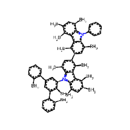 Bc1ccccc1-c1cc(-c2ccccc2B)c(B)c(-n2c3c(B)cc(B)c(B)c3c3c(B)c(-c4cc(B)c5c(c4B)c4c(B)c(B)cc(B)c4n5-c4ccccc4)cc(B)c32)c1